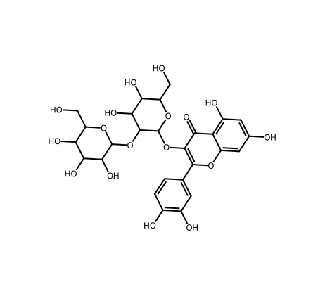 O=c1c(OC2OC(CO)C(O)C(O)C2OC2OC(CO)C(O)C(O)C2O)c(-c2ccc(O)c(O)c2)oc2cc(O)cc(O)c12